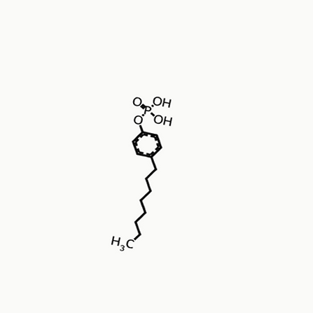 CCCCCCCCc1ccc(OP(=O)(O)O)cc1